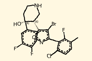 Cc1ccc(Cl)c(-c2noc([C@H]3CNCC[C@]3(O)c3ccc(F)c(F)c3)c2Br)c1F